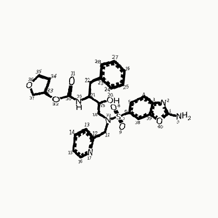 Nc1nc2ccc(S(=O)(=O)N(Cc3ccccn3)CC(O)C(Cc3ccccc3)NC(=O)OC3CCOC3)cc2o1